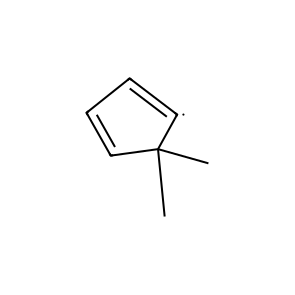 CC1(C)[C]=CC=C1